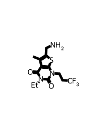 CCn1c(=O)c2c(C)c(CN)sc2n(CCC(F)(F)F)c1=O